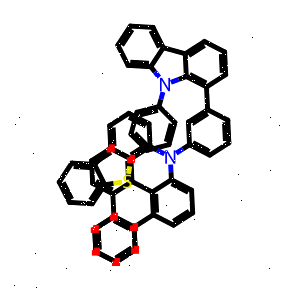 c1ccc(-c2ccccc2-c2c(-c3ccccc3)cccc2N(c2cccc(-c3cccc4c5ccccc5n(-c5ccccc5)c34)c2)c2cccc3c2sc2ccccc23)cc1